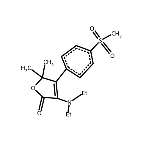 CCN(CC)C1=C(c2ccc(S(C)(=O)=O)cc2)C(C)(C)OC1=O